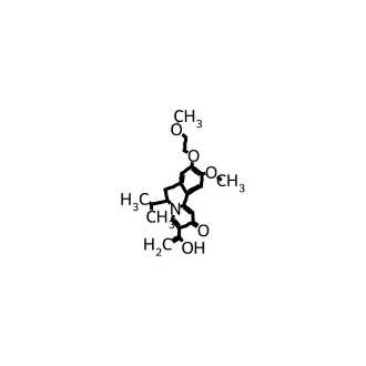 C=C(O)c1cn2c(cc1=O)-c1cc(OC)c(OCCOC)cc1CC2C(C)C